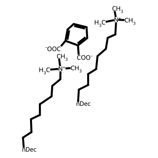 CCCCCCCCCCCCCCCCCC[N+](C)(C)C.CCCCCCCCCCCCCCCCCC[N+](C)(C)C.O=C([O-])c1ccccc1C(=O)[O-]